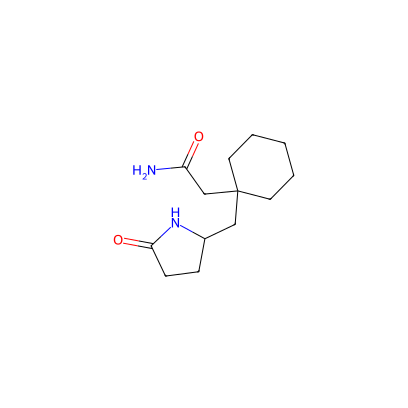 NC(=O)CC1(CC2CCC(=O)N2)CCCCC1